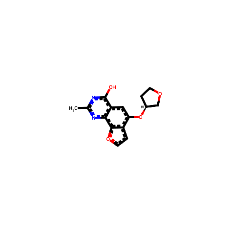 Cc1nc(O)c2cc(O[C@H]3CCOC3)c3ccoc3c2n1